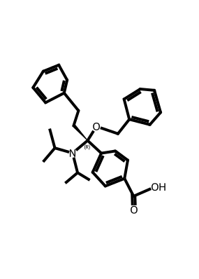 CC(C)N(C(C)C)[C@](CCc1ccccc1)(OCc1ccccc1)c1ccc(C(=O)O)cc1